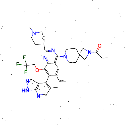 C=CC(=O)N1CC2(CCN(c3nc(C4CCN(C)CC4)nc4c(OCC(F)(F)F)c(-c5c(C)cnc6[nH]ncc56)c(C=C)cc34)CC2)C1